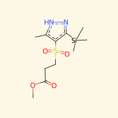 COC(=O)CCS(=O)(=O)c1c([Si](C)(C)C)n[nH]c1C